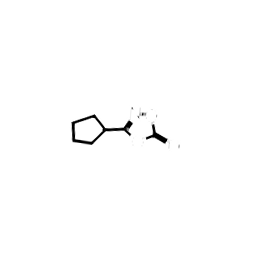 O=c1onc(C2CCCC2)o1